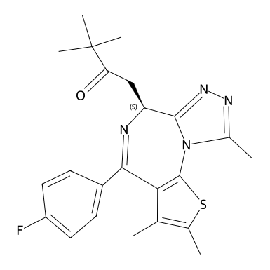 Cc1sc2c(c1C)C(c1ccc(F)cc1)=N[C@@H](CC(=O)C(C)(C)C)c1nnc(C)n1-2